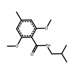 COc1cc(C)cc(OC)c1C(=O)PCC(C)C